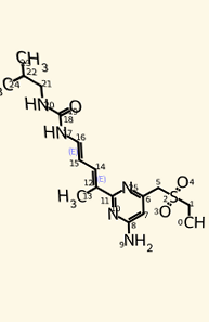 CCS(=O)(=O)Cc1cc(N)nc(/C(C)=C/C=C/NC(=O)NCC(C)C)n1